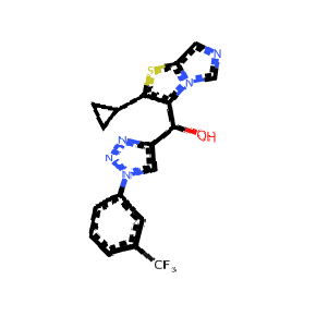 OC(c1cn(-c2cccc(C(F)(F)F)c2)nn1)c1c(C2CC2)sc2cncn12